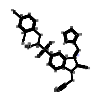 C#CCN1C(=O)/C(=C/c2nccs2)c2cc(S(=O)(=O)N(C)Cc3ccc(F)cc3F)ccc21